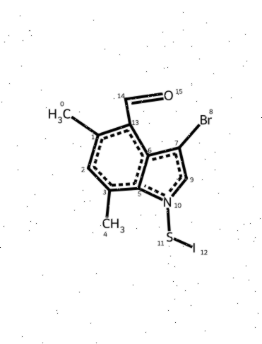 Cc1cc(C)c2c(c(Br)cn2SI)c1C=O